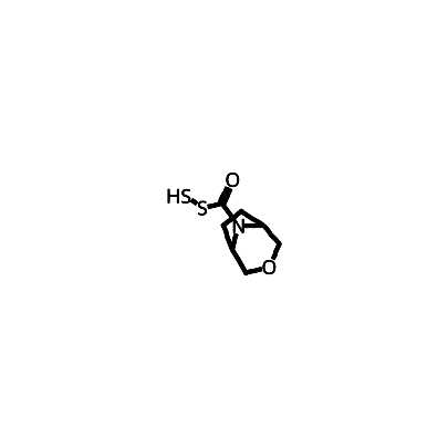 O=C(SS)N1C2CCC1COC2